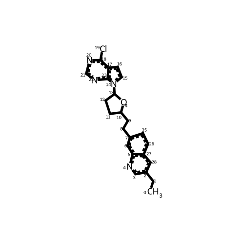 CCc1cnc2cc(CCC3CCC(n4ccc5c(Cl)ncnc54)O3)ccc2c1